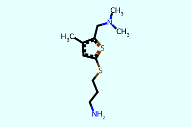 Cc1cc(SCCCN)sc1CN(C)C